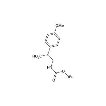 COc1ccc(C(CNC(=O)OC(C)(C)C)C(=O)O)cc1